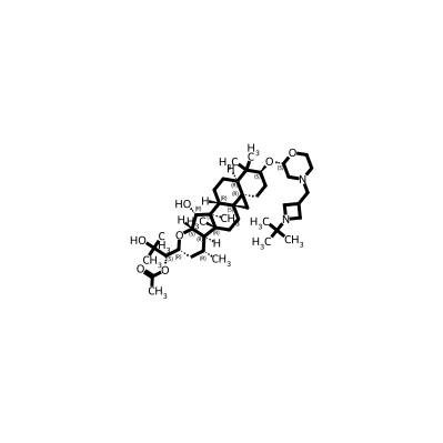 CC(=O)O[C@@H]([C@H]1C[C@@H](C)[C@H]2[C@H](O1)[C@H](O)[C@@]1(C)[C@@H]3CC[C@H]4C(C)(C)[C@@H](O[C@H]5CN(CC6CN(C(C)(C)C)C6)CCO5)CC[C@@]45C[C@@]35CC[C@]21C)C(C)(C)O